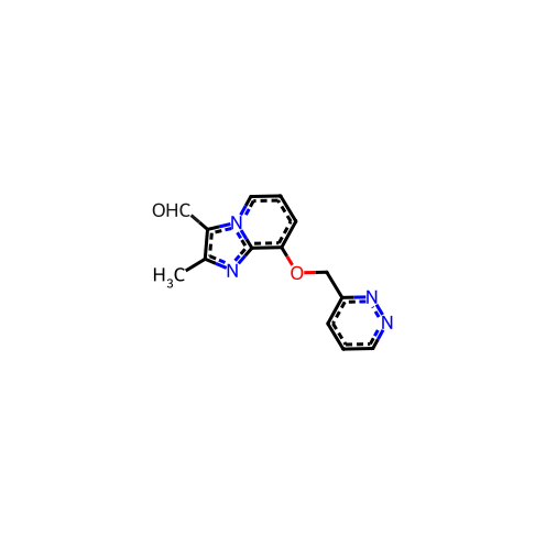 Cc1nc2c(OCc3cccnn3)cccn2c1C=O